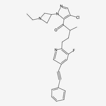 CCN1CC(n2ncc(Cl)c2C(=O)C(C)CCc2ncc(C#Cc3ccccc3)cc2F)C1